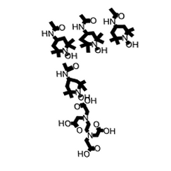 CC(=O)NC1CC(C)(C)N(O)C(C)(C)C1.CC(=O)NC1CC(C)(C)N(O)C(C)(C)C1.CC(=O)NC1CC(C)(C)N(O)C(C)(C)C1.CC(=O)NC1CC(C)(C)N(O)C(C)(C)C1.O=C(O)CN(CCN(CC(=O)O)CC(=O)O)CC(=O)O